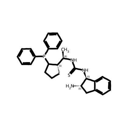 C[C@@H](NC(=S)N[C@H]1c2ccccc2C[C@@H]1N)[C@@H]1CCCC1P(c1ccccc1)c1ccccc1